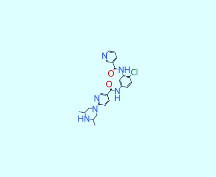 CC1CN(c2ccc(C(=O)Nc3ccc(Cl)c(NC(=O)c4cccnc4)c3)cn2)CC(C)N1